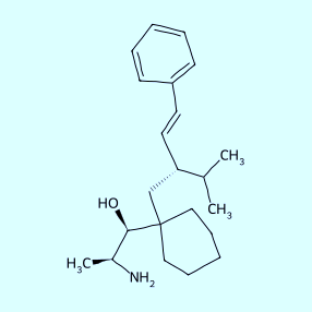 CC(C)[C@@H](/C=C/c1ccccc1)CC1([C@H](O)[C@H](C)N)CCCCC1